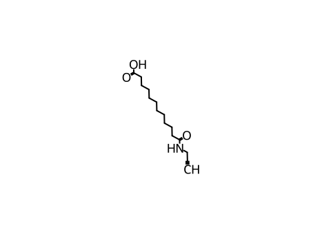 C#CCNC(=O)CCCCCCCCCCC(=O)O